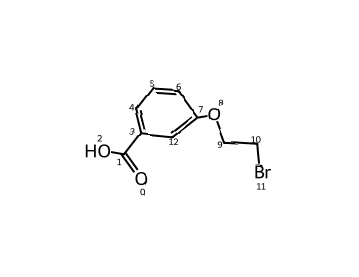 O=C(O)c1cccc(OCCBr)c1